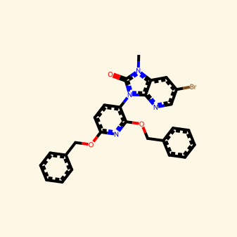 Cn1c(=O)n(-c2ccc(OCc3ccccc3)nc2OCc2ccccc2)c2ncc(Br)cc21